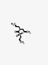 C=CCN(CC=C)C(=O)S(=O)(=O)CC=C